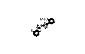 COc1ccccc1-c1nnc(Nc2nc3c(F)cccc3s2)s1